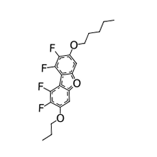 CCCCCOc1cc2oc3cc(OCCC)c(F)c(F)c3c2c(F)c1F